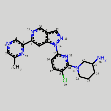 Cc1cncc(-c2cc3c(cn2)cnn3-c2ccc(Cl)c(N3CCCC(N)C3)n2)n1